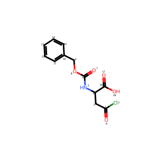 O=C(Cl)CC(NC(=O)OCc1ccccc1)C(=O)O